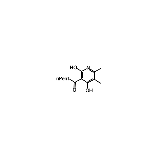 CCCCCC(=O)c1c(O)nc(C)c(C)c1O